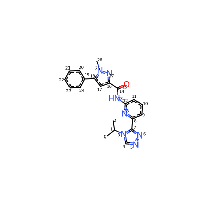 CC(C)n1cnnc1-c1cccc(NC(=O)c2cc(-c3ccccc3)n(C)n2)n1